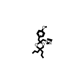 CCCC1(CCC)COC(Cc2ccc(OC)cc2)(Cn2ccnc2)OC1